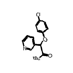 CC(C)(C)C(=O)C(Oc1ccc(Cl)cc1)c1cccnc1